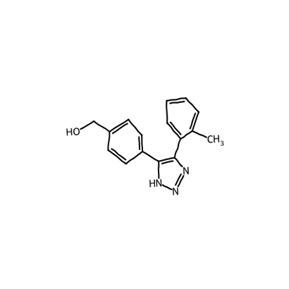 Cc1ccccc1-c1nn[nH]c1-c1ccc(CO)cc1